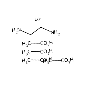 CC(=O)O.CC(=O)O.CC(=O)O.CC(=O)O.NCCN.[La]